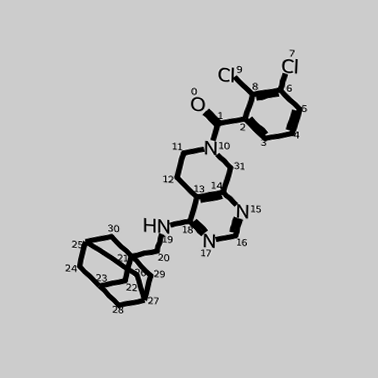 O=C(c1cccc(Cl)c1Cl)N1CCc2c(ncnc2NCC23CC4CC(CC(C4)C2)C3)C1